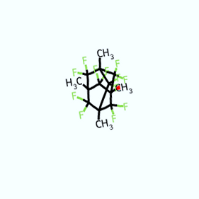 CC12C(F)(F)C3(C)C(F)(F)C(C)(C1(F)F)C(F)(F)C(C)(C2(F)F)C3(F)F